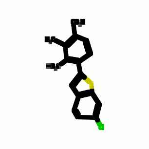 Cc1c(C(=O)O)ccc(-c2cc3ccc(Cl)cc3s2)c1C(=O)O